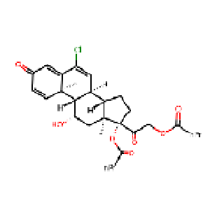 CCCC(=O)OCC(=O)[C@]1(OC(=O)CCC)CC[C@H]2[C@@H]3C=C(Cl)C4=CC(=O)C=C[C@]4(C)[C@H]3[C@@H](O)C[C@@]21C